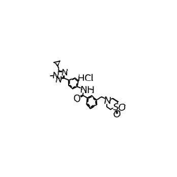 Cl.Cn1nc(-c2ccc(NC(=O)c3cccc(CN4CCS(=O)(=O)CC4)c3)cc2)nc1C1CC1